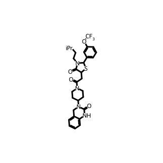 CC(C)CCN1C(=O)C(CC(=O)N2CCC(N3Cc4ccccc4NC3=O)CC2)SC1c1cccc(OC(F)(F)F)c1